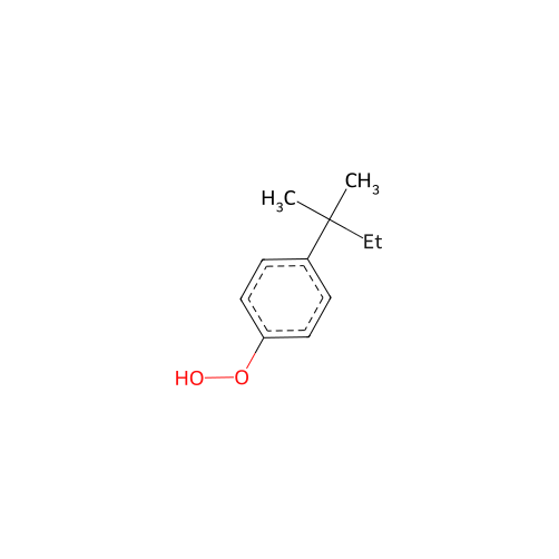 CCC(C)(C)c1ccc(OO)cc1